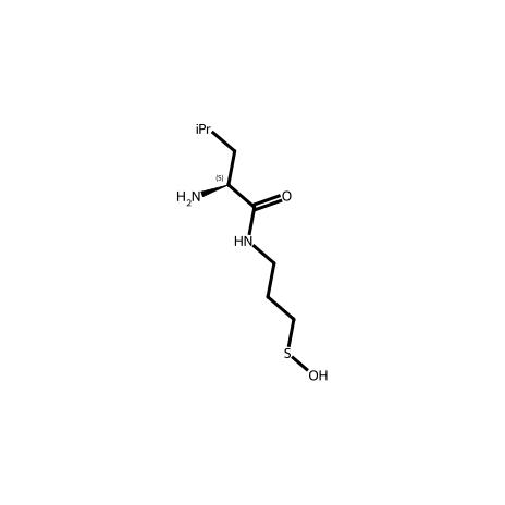 CC(C)C[C@H](N)C(=O)NCCCSO